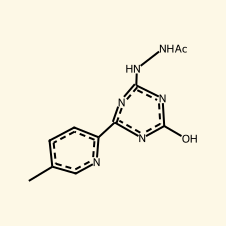 CC(=O)NNc1nc(O)nc(-c2ccc(C)cn2)n1